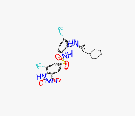 C[C@@H](CC1CCCCC1)NCc1cc(F)ccc1NS(=O)(=O)c1cc(F)c2[nH]c(=O)[nH]c(=O)c2c1